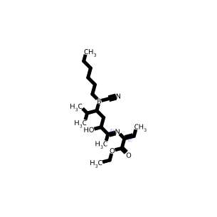 C/C=C(\N=C(/C)C(O)CC(B(C#N)CCCCCC)C(C)C)C(=O)OCC